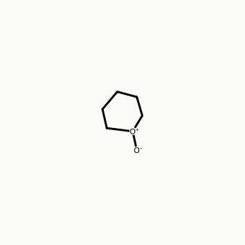 [O-][O+]1CCCCC1